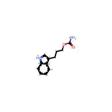 NC(=O)OCCCc1c[nH]c2ccccc12